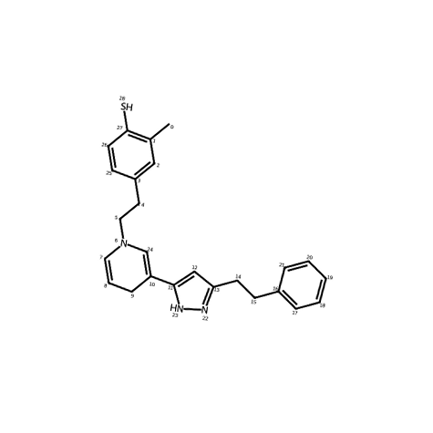 Cc1cc([CH]CN2C=CCC(c3cc(CCc4ccccc4)n[nH]3)=C2)ccc1S